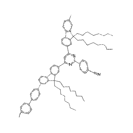 CCCCCCCCC1(CCCCCCCC)c2cc(C)ccc2-c2ccc(-c3cc(-c4ccc5c(c4)C(CCCCCCCC)(CCCCCCCC)c4cc(-c6ccc(-c7ccc(C)cc7)cc6)ccc4-5)nc(-c4ccc(C#N)cc4)n3)cc21